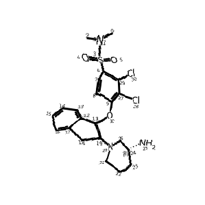 CN(C)S(=O)(=O)c1ccc(OC2c3ccccc3CC2N2CCC[C@@H](N)C2)c(Cl)c1Cl